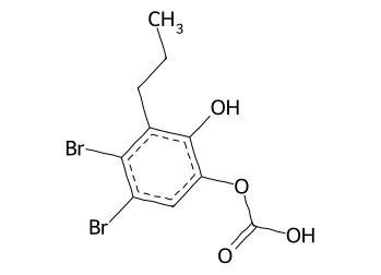 CCCc1c(O)c(OC(=O)O)cc(Br)c1Br